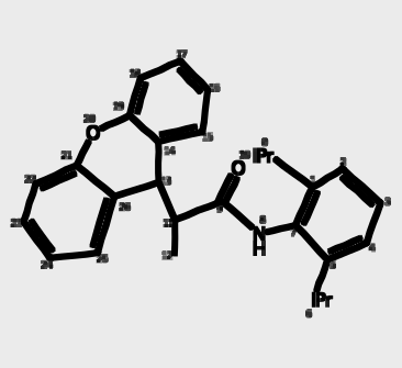 CC(C)c1cccc(C(C)C)c1NC(=O)C(C)C1c2ccccc2Oc2ccccc21